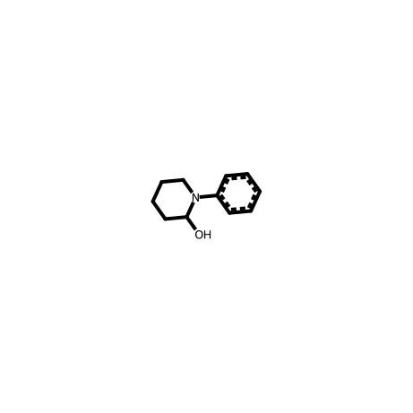 OC1CCCCN1c1ccccc1